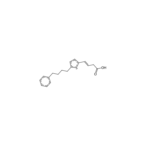 O=C(O)CC=Cc1ccc(CCCCc2ccccc2)s1